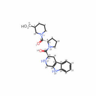 O=C(O)C1CCCN(C(=O)[C@@H]2CCCN2C(=O)[C@H]2Cc3c([nH]c4ccccc34)CN2)C1